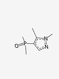 Cc1c(P(C)(C)=O)cnn1C